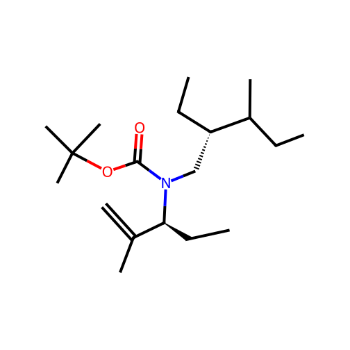 C=C(C)[C@H](CC)N(C[C@H](CC)C(C)CC)C(=O)OC(C)(C)C